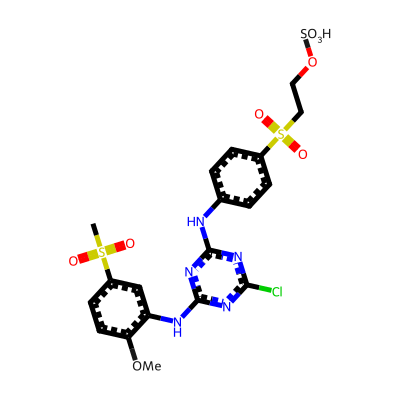 COc1ccc(S(C)(=O)=O)cc1Nc1nc(Cl)nc(Nc2ccc(S(=O)(=O)CCOS(=O)(=O)O)cc2)n1